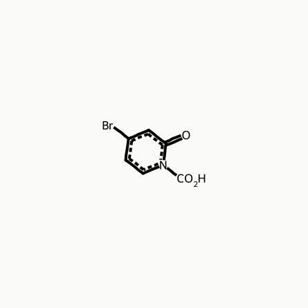 O=C(O)n1ccc(Br)cc1=O